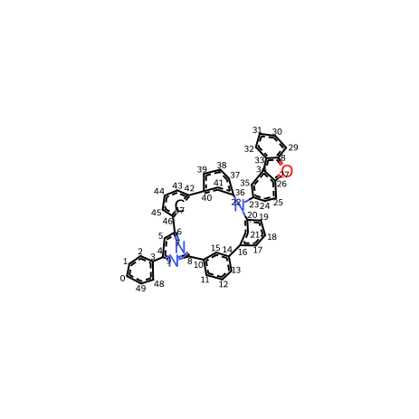 c1ccc(-c2cc3nc(n2)-c2cccc(c2)-c2cccc(c2)N(c2ccc4oc5ccccc5c4c2)c2cccc(c2)-c2cccc-3c2)cc1